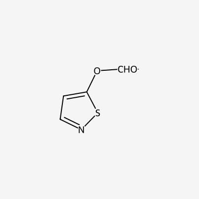 O=[C]Oc1ccns1